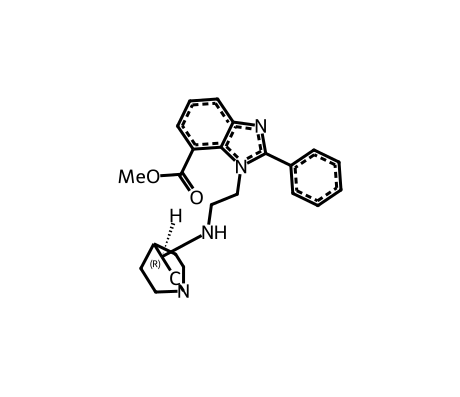 COC(=O)c1cccc2nc(-c3ccccc3)n(CCN[C@H]3CN4CCC3CC4)c12